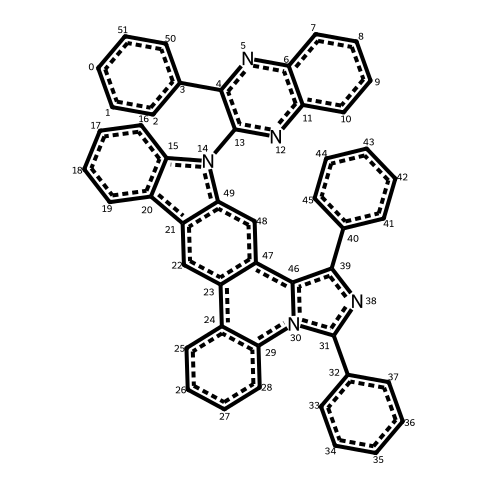 c1ccc(-c2nc3ccccc3nc2-n2c3ccccc3c3cc4c5ccccc5n5c(-c6ccccc6)nc(-c6ccccc6)c5c4cc32)cc1